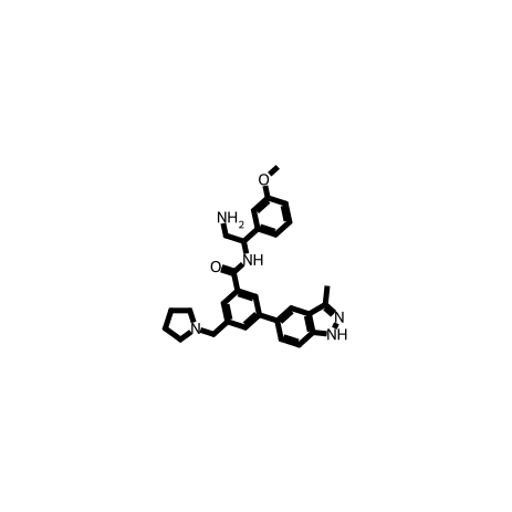 COc1cccc(C(CN)NC(=O)c2cc(CN3CCCC3)cc(-c3ccc4[nH]nc(C)c4c3)c2)c1